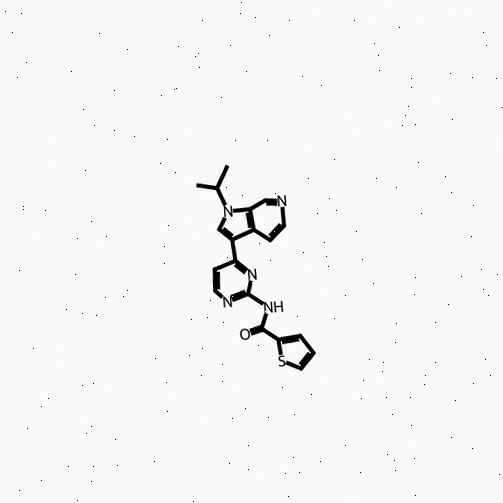 CC(C)n1cc(-c2ccnc(NC(=O)c3cccs3)n2)c2ccncc21